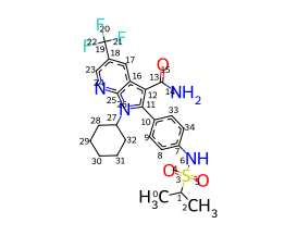 CC(C)S(=O)(=O)Nc1ccc(-c2c(C(N)=O)c3cc(C(F)(F)F)cnc3n2C2CCCCC2)cc1